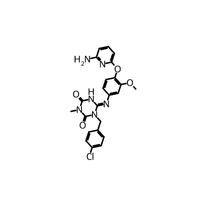 COc1cc(/N=c2\[nH]c(=O)n(C)c(=O)n2Cc2ccc(Cl)cc2)ccc1Oc1cccc(N)n1